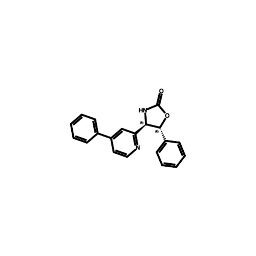 O=C1N[C@H](c2cc(-c3ccccc3)ccn2)[C@@H](c2ccccc2)O1